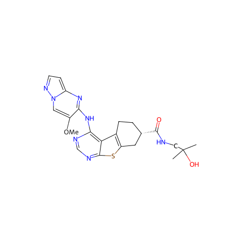 COc1cn2nccc2nc1Nc1ncnc2sc3c(c12)CC[C@H](C(=O)NCC(C)(C)O)C3